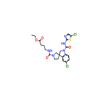 CCOC(=O)CCCNC(=O)N1CCC2(C1)CN(C(=O)Nc1ncc(Cl)s1)c1ccc(Cl)cc12